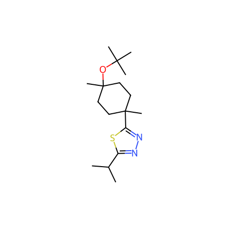 CC(C)c1nnc(C2(C)CCC(C)(OC(C)(C)C)CC2)s1